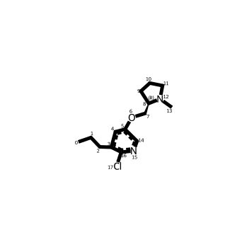 CCCc1cc(OC[C@H]2CCCN2C)cnc1Cl